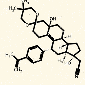 C=C(C)c1ccc([C@H]2C[C@@]3(C)[C@@H](CC[C@@]3(O)CC#N)[C@@H]3CC[C@@]4(O)CC5(CCC4=C32)OCC(C)(C)CO5)cc1